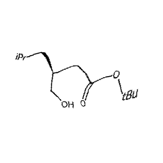 CC(C)C[C@H](CO)CC(=O)OC(C)(C)C